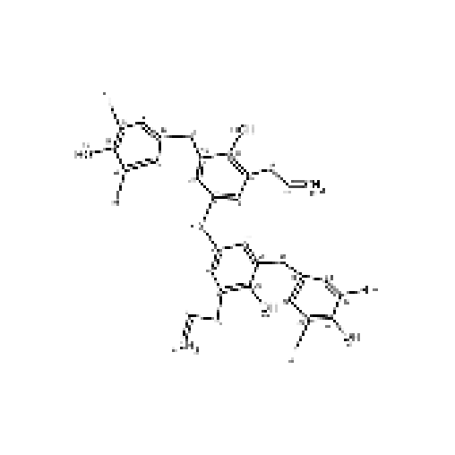 C=CCc1cc(Sc2cc(CC=C)c(O)c(Cc3cc(I)c(O)c(I)c3)c2)cc(Cc2cc(I)c(O)c(I)c2)c1O